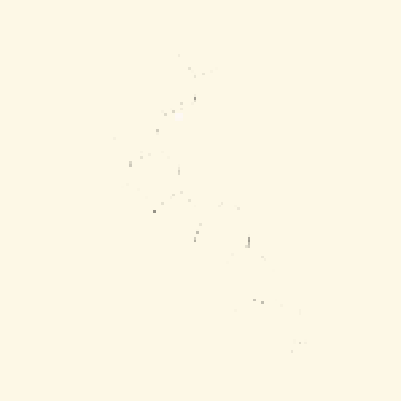 CN(C)/C=C/c1cc(N2CCC(OC(=O)NC(C)(C)C)CC2)ncc1[N+](=O)[O-]